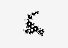 CC1Cc2cc(OS(=O)(=O)C(F)(F)F)ccc2C(c2c(F)cc(NC3CN(CCCF)C3)cc2F)N1CC(F)(F)F